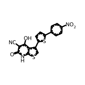 N#Cc1c(O)c2c(-c3ccc(-c4ccc([N+](=O)[O-])cc4)s3)csc2[nH]c1=O